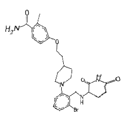 Cc1cc(OCCC2CCN(c3cccc(Br)c3CNC3CCC(=O)NC3=O)CC2)ccc1C(N)=O